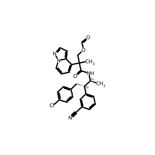 C[C@H](NC(=O)C(C)(COC=O)c1cccn2nccc12)[C@@H](Cc1ccc(Cl)cc1)c1cccc(C#N)c1